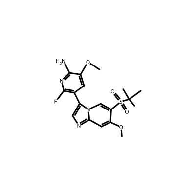 COc1cc2ncc(-c3cc(OC)c(N)nc3F)n2cc1S(=O)(=O)C(C)(C)C